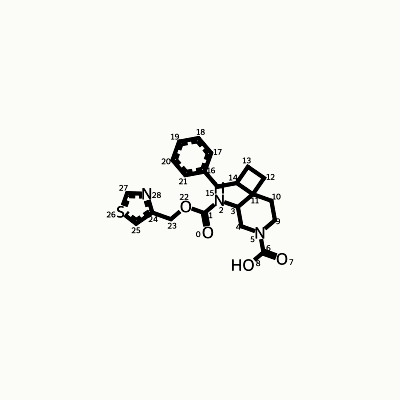 O=C(NC1CN(C(=O)O)CCC12CCC2Cc1ccccc1)OCc1cscn1